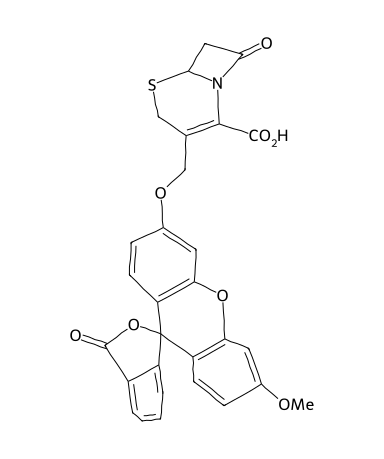 COc1ccc2c(c1)Oc1cc(OCC3=C(C(=O)O)N4C(=O)CC4SC3)ccc1C21OC(=O)c2ccccc21